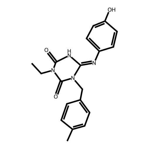 CCn1c(=O)[nH]/c(=N\c2ccc(O)cc2)n(Cc2ccc(C)cc2)c1=O